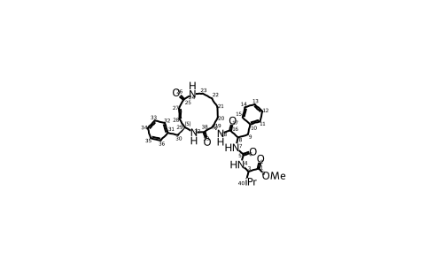 COC(=O)C(NC(=O)NC(Cc1ccccc1)C(=O)N[C@H]1CCCCNC(=O)C=C[C@H](Cc2ccccc2)NC1=O)C(C)C